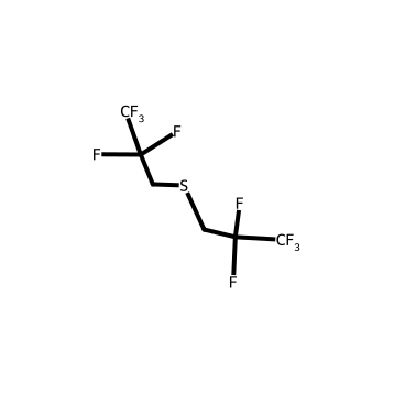 FC(F)(F)C(F)(F)CSCC(F)(F)C(F)(F)F